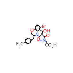 O=C(O)CNC(=O)c1c(O)c2c(Br)ccc3c2n(c1=O)C(Cc1ccc(C(F)(F)F)cc1)CO3